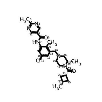 Cc1ncc(C(=O)Nc2cc(Cl)cc(CN3CCN(C(=O)[C@H]4C[C@@H](C)C4)[C@@H](C)C3)c2C)cn1